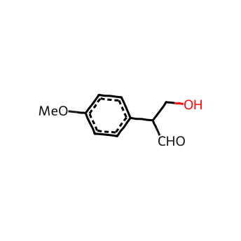 COc1ccc(C(C=O)CO)cc1